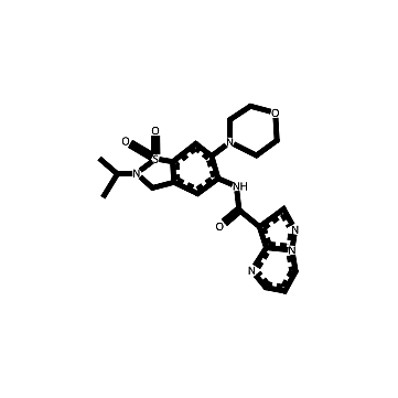 CC(C)N1Cc2cc(NC(=O)c3cnn4cccnc34)c(N3CCOCC3)cc2S1(=O)=O